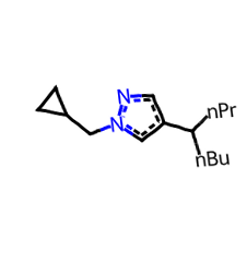 CCCCC(CCC)c1cnn(CC2CC2)c1